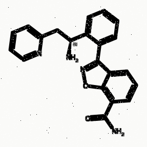 NC(=O)c1cccc2c(-c3ccccc3[C@@H](N)Cc3ccccn3)noc12